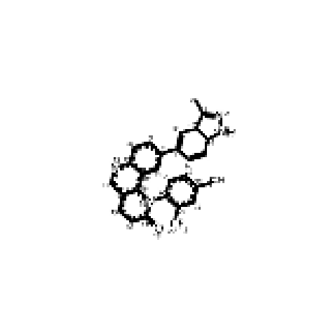 CC1=NNC2C=CC(c3ccc4ncc5ccc(=O)n(-c6ccc(F)cc6C(F)(F)F)c5c4c3)=CC12